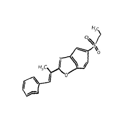 CCS(=O)(=O)c1ccc2oc(C(C)=Cc3ccccc3)nc2c1